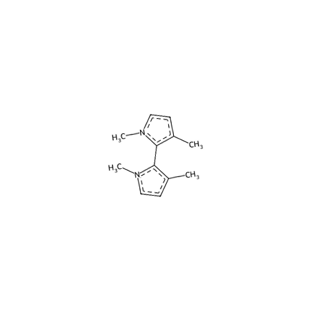 Cc1ccn(C)c1-c1c(C)ccn1C